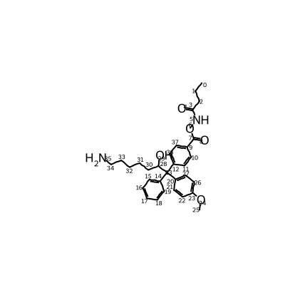 CCCC(=O)NOC(=O)c1ccc(C(c2ccccc2)(c2ccc(OC)cc2)C(O)CCCCCN)cc1